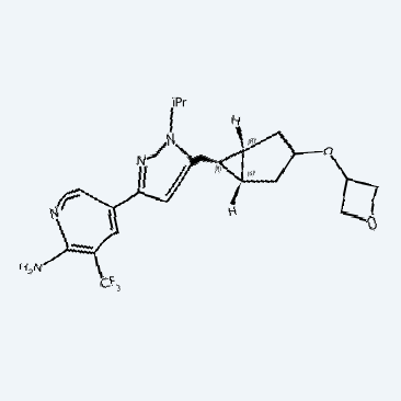 CC(C)n1nc(-c2cnc(N)c(C(F)(F)F)c2)cc1[C@H]1[C@@H]2CC(OC3COC3)C[C@@H]21